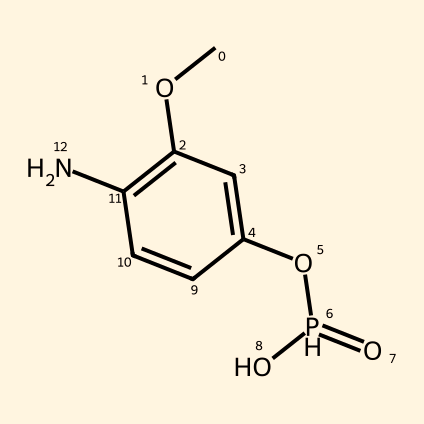 COc1cc(O[PH](=O)O)ccc1N